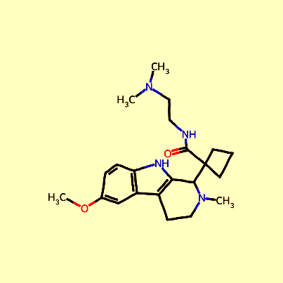 COc1ccc2[nH]c3c(c2c1)CCN(C)C3C1(C(=O)NCCN(C)C)CCC1